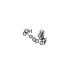 O=C(O)CCc1ccc(COc2cccc(-c3c(-c4ccccc4C(F)(F)F)cnc4c(C(F)(F)F)cccc34)c2)cc1